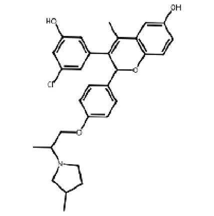 CC1=C(c2cc(O)cc(Cl)c2)C(c2ccc(OCC(C)N3CCC(C)C3)cc2)Oc2ccc(O)cc21